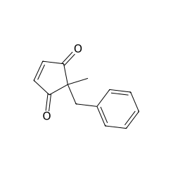 CC1(Cc2ccccc2)C(=O)C=CC1=O